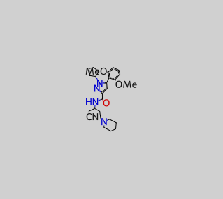 COc1cccc(OC)c1-c1cc(C(=O)NC(CC#N)CCN2CCCCC2)nn1C1CCCC1